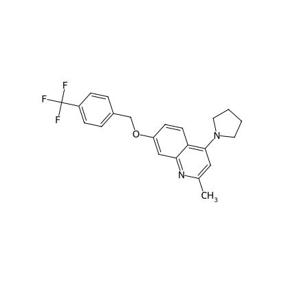 Cc1cc(N2CCCC2)c2ccc(OCc3ccc(C(F)(F)F)cc3)cc2n1